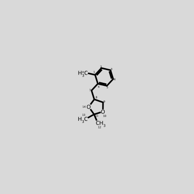 Cc1ccccc1CC1COC(C)(C)O1